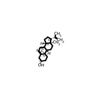 C=C(C)[C@H]1CC[C@H]2C3=CC=C4C[C@@H](O)CC[C@]4(C)[C@H]3CC[C@]12C